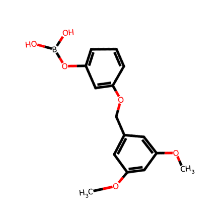 COc1cc(COc2cccc(OB(O)O)c2)cc(OC)c1